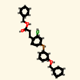 O=C(CCc1ccc(Sc2cccc(OCc3ccccc3)c2)cc1Cl)OCc1ccccc1